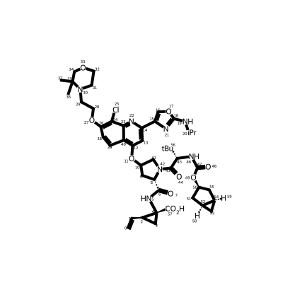 C=C[C@@H]1C[C@]1(NC(=O)[C@@H]1CC(Oc2cc(-c3coc(NC(C)C)n3)nc3c(Cl)c(OCCN4CCOCC4(C)C)ccc23)CN1C(=O)[C@@H](NC(=O)O[C@@H]1C[C@@H]2C[C@@H]2C1)C(C)(C)C)C(=O)O